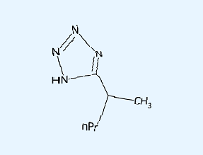 CCCC(C)c1nnn[nH]1